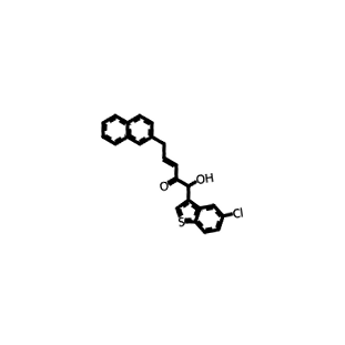 O=C(/C=C/Cc1ccc2ccccc2c1)C(O)c1csc2ccc(Cl)cc12